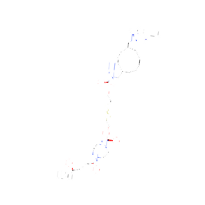 CCOC(=O)NCC1CCCCCC(CNC(=O)OCCSSCCOC(=O)N2CCN(C(=O)CCC(=O)C(C)(C)C)CC2)CCC1